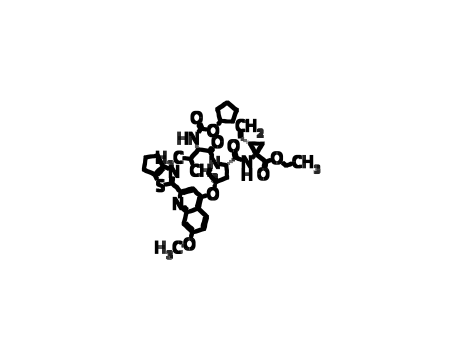 C=C[C@@H]1C[C@]1(NC(=O)[C@@H]1C[C@@H](Oc2cc(-c3nc4c(s3)CCC4)nc3cc(OC)ccc23)CN1C(=O)[C@@H](NC(=O)OC1CCCC1)C(C)C)C(=O)OCC